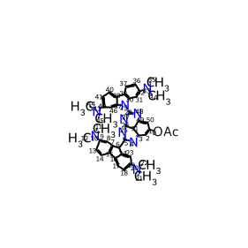 CC(=O)OC1=CC2=NC(C3c4cc(N(C)C)ccc4-c4ccc(N(C)C)cc43)=NC3=NC(n4c5cc(N(C)C)ccc5c5ccc(N(C)C)cc54)=NC(=C1)C23